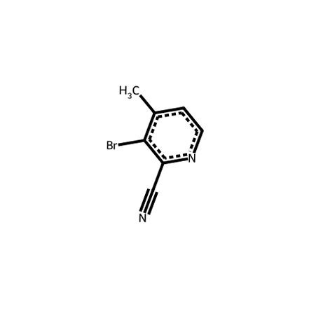 Cc1ccnc(C#N)c1Br